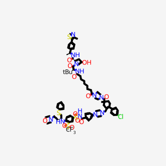 Cc1ncsc1-c1ccc([C@H](C)NC(=O)[C@@H]2C[C@@H](O)CN2C(=O)[C@@H](NC(=O)CCCCCCCC(=O)N2CCN(C(=O)C3(C)CCC(c4ccc(Cl)cc4)=C(CN4CCN(c5ccc(C(=O)NS(=O)(=O)c6ccc(N[C@H](CCN7CCOCC7)CSc7ccccc7)c(S(=O)(=O)C(F)(F)F)c6)cc5)CC4)C3)CC2)C(C)(C)C)cc1